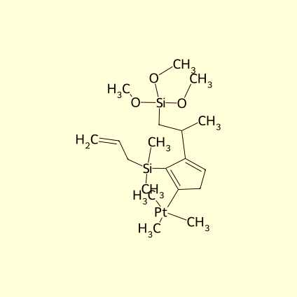 C=CC[Si](C)(C)C1=[C]([Pt]([CH3])([CH3])[CH3])CC=C1C(C)C[Si](OC)(OC)OC